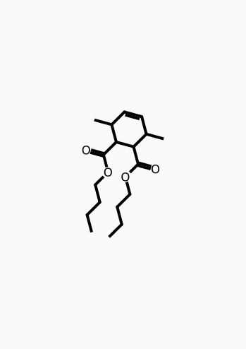 CCCCOC(=O)C1C(C)C=CC(C)C1C(=O)OCCCC